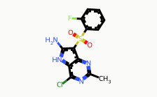 Cc1nc(Cl)c2[nH]c(N)c(S(=O)(=O)c3ccccc3F)c2n1